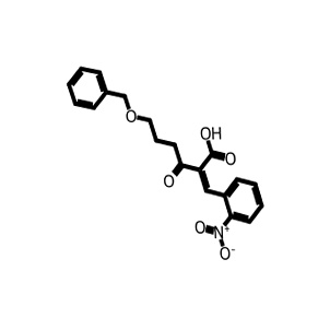 O=C(O)C(=Cc1ccccc1[N+](=O)[O-])C(=O)CCCOCc1ccccc1